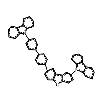 c1ccc2c(c1)c1ccccc1n2-c1ccc(-c2ccc(-c3ccc4oc5ccc(-n6c7ccccc7c7ccccc76)cc5c4c3)cc2)cc1